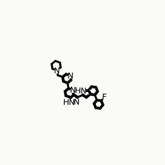 Fc1ccccc1-c1cccc2[nH]c(-c3n[nH]c4ccc(-c5cncc(CN6CCCCC6)c5)nc34)cc12